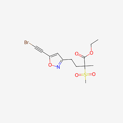 CCOC(=O)C(C)(CCc1cc(C#CBr)on1)S(C)(=O)=O